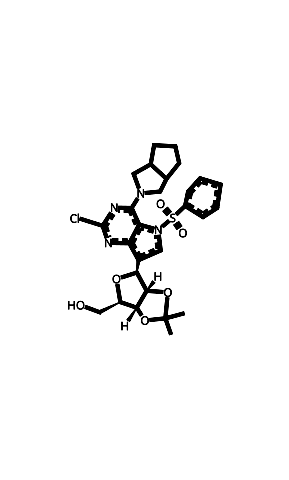 CC1(C)O[C@@H]2[C@H](O1)[C@@H](CO)O[C@H]2c1cn(S(=O)(=O)c2ccccc2)c2c(N3CC4CCCC4C3)nc(Cl)nc12